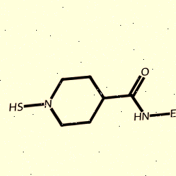 CCNC(=O)C1CCN(S)CC1